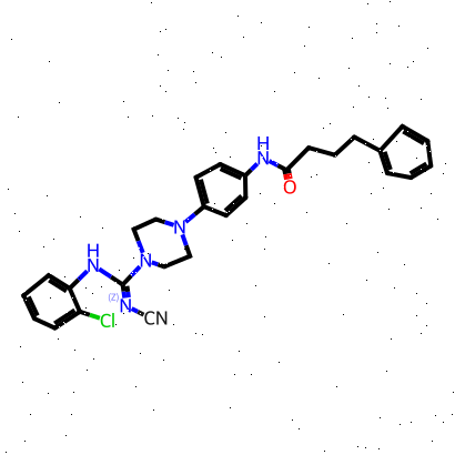 N#C/N=C(/Nc1ccccc1Cl)N1CCN(c2ccc(NC(=O)CCCc3ccccc3)cc2)CC1